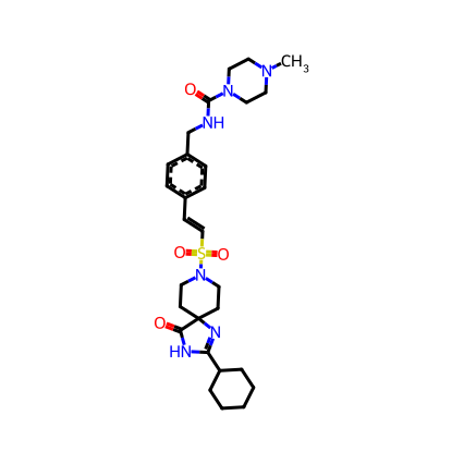 CN1CCN(C(=O)NCc2ccc(/C=C/S(=O)(=O)N3CCC4(CC3)N=C(C3CCCCC3)NC4=O)cc2)CC1